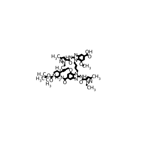 CCn1nc(C)cc1C(=O)Nc1nc2cc(C(=O)O)cc(OC)c2n1CC=CCn1c(NC(=O)c2cc(C)nn2CC)nc2cc(C(N)=O)cc(OCC#CC3CCN(C(=O)OC(C)(C)C)CC3)c21